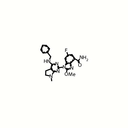 COc1nc2c(C(N)=O)cc(F)cc2n1-c1nc(NCc2ccccc2)c2c(n1)N(C)CC2